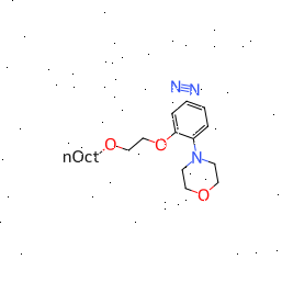 CCCCCCCCOCCOc1ccccc1N1CCOCC1.N#N